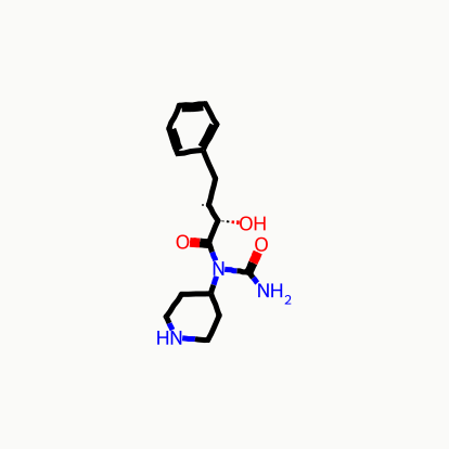 NC(=O)N(C(=O)[C@@H](O)[CH]Cc1ccccc1)C1CCNCC1